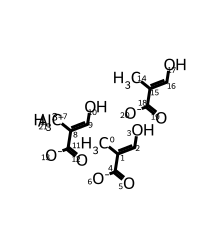 C/C(=C\O)C(=O)[O-].C/C(=C\O)C(=O)[O-].C/C(=C\O)C(=O)[O-].[Al+3]